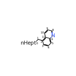 CCCCCCCCc1cccc2ncccc12